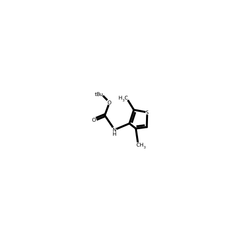 Cc1csc(C)c1NC(=O)OC(C)(C)C